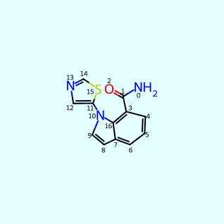 NC(=O)c1cccc2ccn(-c3cncs3)c12